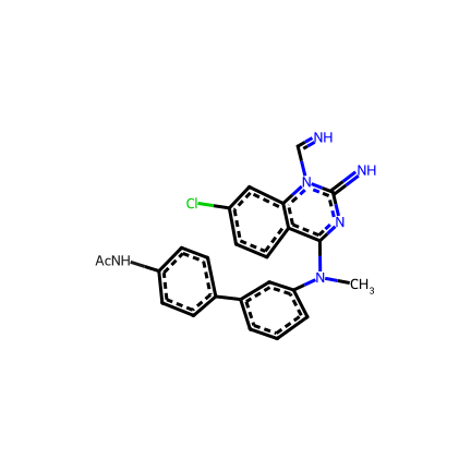 CC(=O)Nc1ccc(-c2cccc(N(C)c3nc(=N)n(C=N)c4cc(Cl)ccc34)c2)cc1